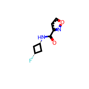 O=C(N[C@H]1C[C@@H](F)C1)c1ccon1